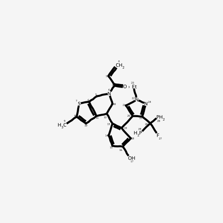 C=CC(=O)N1Cc2sc(C)cc2C(c2ccc(O)cc2-c2cn(CC)nc2C(F)(P)P)C1